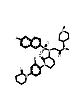 CN1CCC(N(C)C(=O)CN(C2CCCN(c3ccc(N4CCCCC4=O)cc3F)C2=O)S(=O)(=O)c2ccc3cc(Cl)ccc3c2)CC1